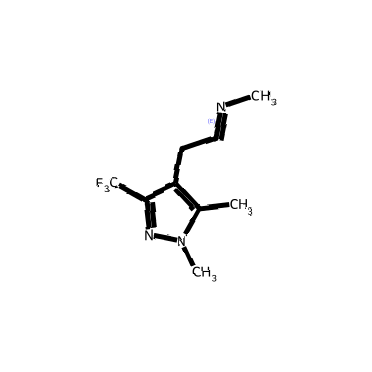 C/N=C/Cc1c(C(F)(F)F)nn(C)c1C